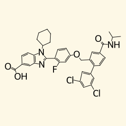 CC(C)NC(=O)c1ccc(-c2cc(Cl)cc(Cl)c2)c(COc2ccc(-c3nc4cc(C(=O)O)ccc4n3C3CCCCC3)c(F)c2)c1